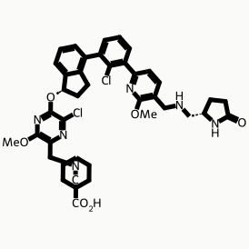 COc1nc(-c2cccc(-c3cccc4c3CC[C@@H]4Oc3nc(OC)c(CN4CC5(C(=O)O)CCC4CC5)nc3Cl)c2Cl)ccc1CNC[C@@H]1CCC(=O)N1